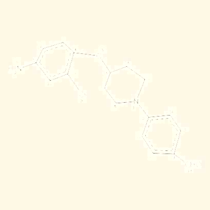 Nc1ccc(OC2CCN(c3ccc(C=O)cc3)CC2)c(Cl)c1